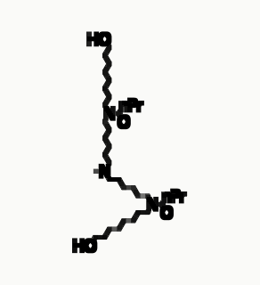 CCCC(=O)N(CCCCCCCCO)CCCCCCN(C)CCCCCCN(CCCCCCCCO)C(=O)CCC